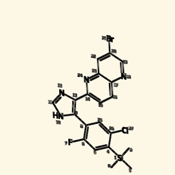 C[Si](C)(C)c1cc(F)c(-c2[nH]cnc2-c2ccc3ncc(Br)cc3n2)cc1Cl